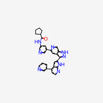 O=C(Nc1cncc(-c2cc3c(-c4cc5c(-c6cccnc6)ccnc5[nH]4)n[nH]c3cn2)c1)C1CCCC1